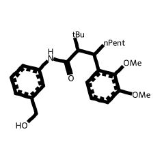 CCCCCC(c1cccc(OC)c1OC)C(C(=O)Nc1cccc(CO)c1)C(C)(C)C